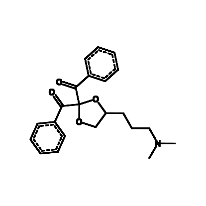 CN(C)CCCC1COC(C(=O)c2ccccc2)(C(=O)c2ccccc2)O1